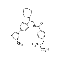 Cc1cccc(-c2ccc([C@H](CNC(=O)c3ccc(C[C@H](N)C(=O)O)cc3)C3CCCCCC3)cc2)c1